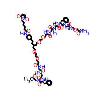 CC(=O)CNC(=O)[C@H](Cc1ccccc1)NC(=O)CNC(=O)CNC(=O)CCOCCOCCC(CCOCCOCCC(=O)NCC(=O)NCC(=O)N[C@@H](Cc1ccccc1)C(=O)NCC(=O)NCOCC(N)=O)CCC1CCC(NC(=O)CCCCCN2C(=O)C=CC2=O)CC1